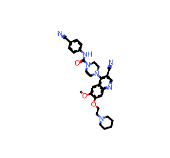 COc1cc2c(N3CCN(C(=O)Nc4ccc(C#N)cc4)CC3)c(C#N)cnc2cc1OCCN1CCCCC1